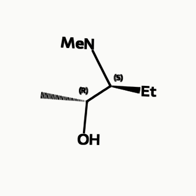 CC[C@H](NC)[C@@H](C)O